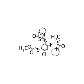 CCSC(=O)N1CCCCCC1.COC(=O)CSc1cc(/N=c2\sc(=O)n3n2CCCC3)c(F)cc1Cl